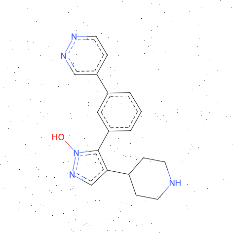 On1ncc(C2CCNCC2)c1-c1cccc(-c2ccnnc2)c1